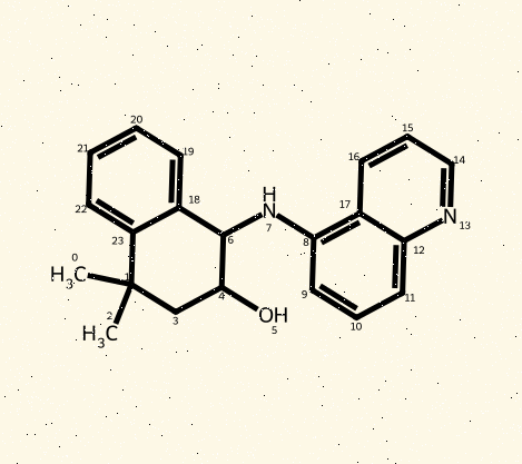 CC1(C)CC(O)C(Nc2cccc3ncccc23)c2ccccc21